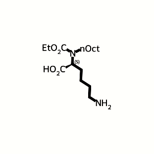 CCCCCCCCN(C(=O)OCC)[C@@H](CCCCN)C(=O)O